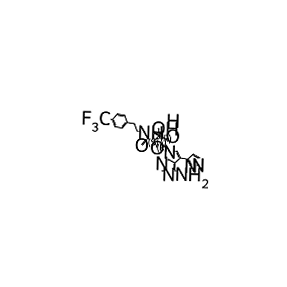 Cn1ccc(-c2cn([C@@H]3O[C@H](C(=O)NCCc4ccc(C(F)(F)F)cc4)[C@@H](O)[C@H]3O)c3ncnc(N)c23)n1